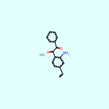 C=Cc1ccc(C(=O)C(=O)c2ccccc2)c(N)c1.Cl